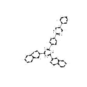 c1ccc(-c2cnc(-c3ccc(-c4nc(-c5ccc6ccccc6c5)nc(-c5ccc6ccccc6c5)n4)cc3)nc2)cc1